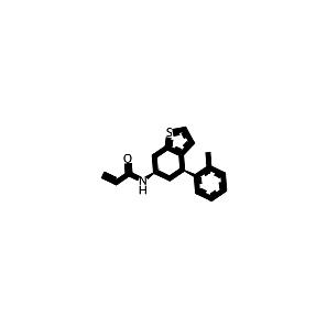 C=CC(=O)N[C@H]1Cc2sccc2[C@@H](c2ccccc2C)C1